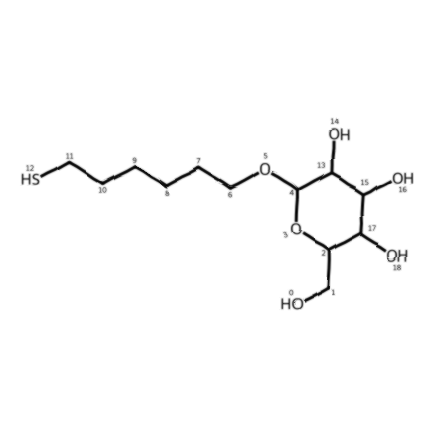 OCC1OC(OCCCCCCS)C(O)C(O)C1O